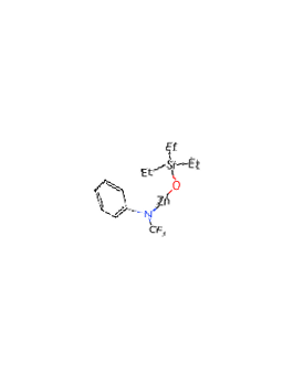 CC[Si](CC)(CC)[O][Zn][N](c1ccccc1)C(F)(F)F